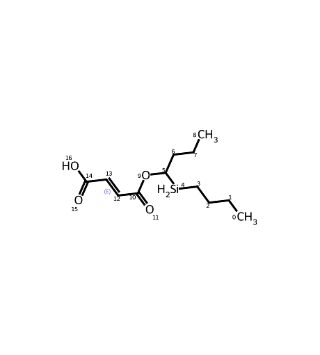 CCCC[SiH2]C(CCC)OC(=O)/C=C/C(=O)O